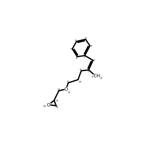 CC(=Cc1ccccc1)CCCOCC1CO1